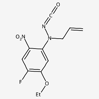 C=CCN(N=C=O)c1cc(OCC)c(F)cc1[N+](=O)[O-]